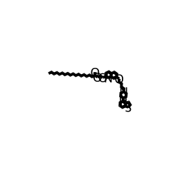 CCCCCCCCCCCCCCCCCC(=O)OCOc1ccc2ccc(OCCCCN3CCN(c4cccc5sccc45)CC3)cc2n1